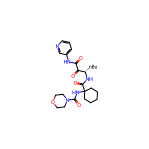 CCCC[C@H](NC(=O)C1(NC(=O)N2CCOCC2)CCCCC1)C(=O)C(=O)Nc1cccnc1